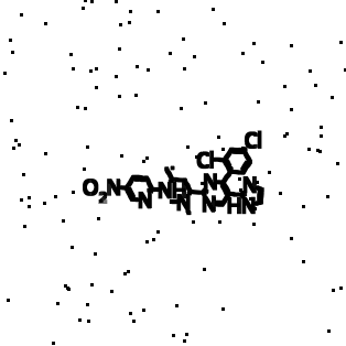 [CH2]C(CC(c1ncc(-c2ncc[nH]2)c(-c2ccc(Cl)cc2Cl)n1)N(C)C)Nc1ccc([N+](=O)[O-])cn1